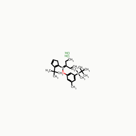 CC[C](CC)=[Ti]([O]c1cc(C)cc([Si](C)(C)C(C)(C)C)c1)[C]1=C(C(C)(C)C)C=CC1.Cl.Cl